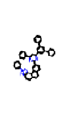 c1ccc(-c2cc(-c3ccccc3)cc(-c3cc(-c4ccccc4)nc(-c4ccc5ccc6ccc7nn(-c8ccccc8)nc7c6c5c4)n3)c2)cc1